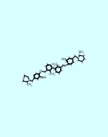 Cc1c(COc2ccc(CN3CCCC[C@H]3C)cc2O)cccc1-c1cccc(COc2ccc(CN3CCCC[C@H]3C)cc2O)c1C